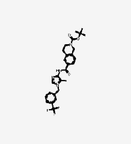 Cc1c(NC(=O)c2ccc3c(c2)CCN(C(=O)OC(C)(C)C)C3)ncn1Cc1cccc(C(F)(F)F)c1